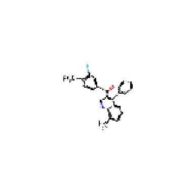 Cc1ccc(C(=O)c2cnc3c(C(F)(F)F)cccc3c2-c2ccccc2)cc1F